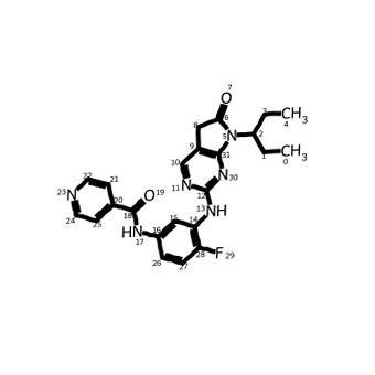 CCC(CC)N1C(=O)Cc2cnc(Nc3cc(NC(=O)c4ccncc4)ccc3F)nc21